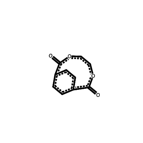 O=c1occoc(=O)c2ccc1cc2